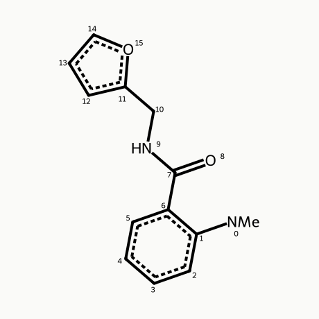 CNc1ccccc1C(=O)NCc1ccco1